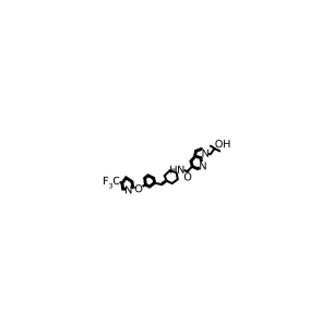 CC(C)(O)Cn1ccc2cc(C(=O)NC3CCC(=Cc4cccc(Oc5ccc(C(F)(F)F)cn5)c4)CC3)cnc21